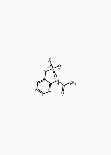 CC(=O)Nc1ccccc1CS(=O)(=O)O